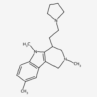 Cc1ccc2c(c1)c1c(n2C)C(CCN2CCCC2)CN(C)C1